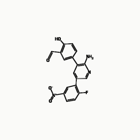 Nc1ncc(-c2cc([N+](=O)[O-])ccc2F)cc1-c1ccc(O)c(C=O)c1